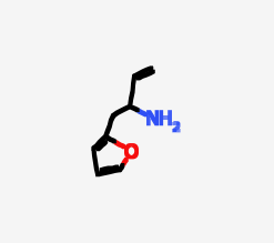 C=CC(N)Cc1ccco1